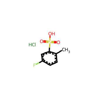 Cc1ccc(F)cc1S(=O)(=O)O.Cl